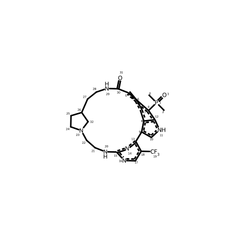 CP(C)(=O)c1c2ccc3c(c[nH]c13)-c1nc(ncc1C(F)(F)F)NCCN1CCC(CCNC2=O)C1